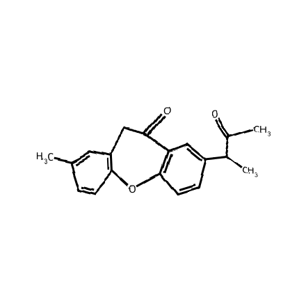 CC(=O)C(C)c1ccc2c(c1)C(=O)Cc1cc(C)ccc1O2